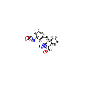 O=C=Nc1cccc(CC2=NNC(C=O)c3ccccc32)c1